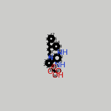 N=C1CCC(=N)c2c(n(CCCC(Cc3ccccc3)c3ccccc3)c3cccc(OC(=O)C(=O)O)c23)C1